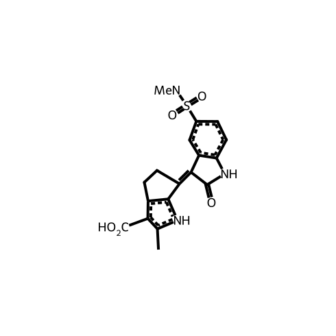 CNS(=O)(=O)c1ccc2c(c1)/C(=C1\CCc3c1[nH]c(C)c3C(=O)O)C(=O)N2